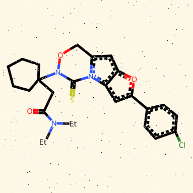 CCN(CC)C(=O)CC1(N2OCc3cc4oc(-c5ccc(Cl)cc5)cc4n3C2=S)CCCCC1